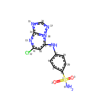 NS(=O)(=O)c1ccc(Nc2cc(Cl)nc3ncnn23)cc1